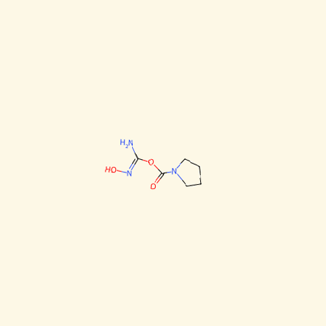 NC(=NO)OC(=O)N1CCCC1